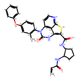 C=CC(=O)NC1CCCC1NC(=O)c1sc2nccc3c2c1NC(=O)N3c1ccc(Oc2ccccc2)cc1C